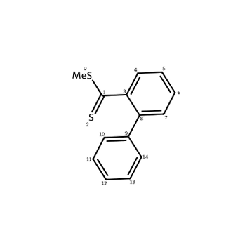 CSC(=S)c1ccccc1-c1ccccc1